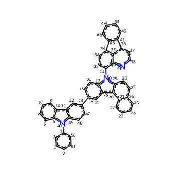 c1ccc(-n2c3ccccc3c3cc(-c4ccc5c(c4)c4c6ccccc6ccc4n5-c4ccc5c6c(ccnc46)-c4ccccc4-5)ccc32)cc1